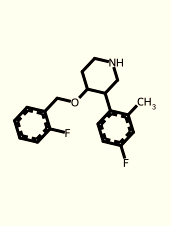 Cc1cc(F)ccc1C1CNCCC1OCc1ccccc1F